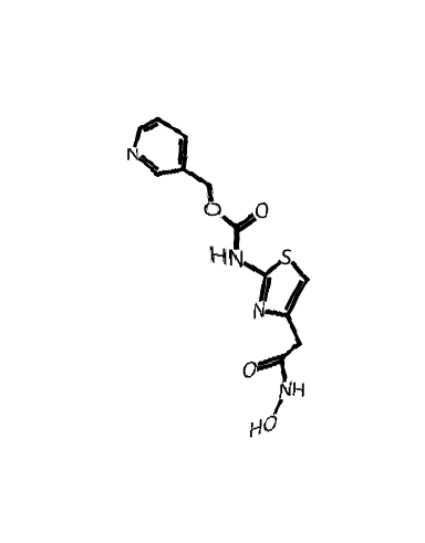 O=C(Cc1csc(NC(=O)OCc2cccnc2)n1)NO